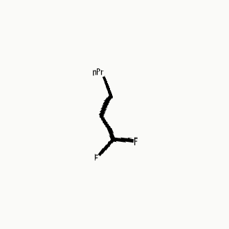 [CH2]CCCC[C](F)F